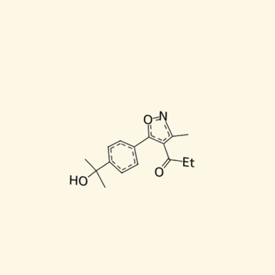 CCC(=O)c1c(C)noc1-c1ccc(C(C)(C)O)cc1